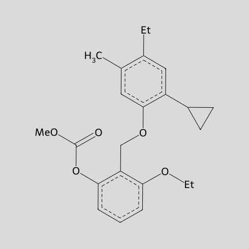 CCOc1cccc(OC(=O)OC)c1COc1cc(C)c(CC)cc1C1CC1